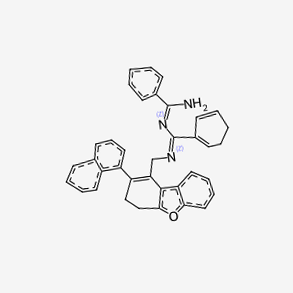 N/C(=N\C(=N/CC1=C(c2cccc3ccccc23)CCc2oc3ccccc3c21)C1=CCCC=C1)c1ccccc1